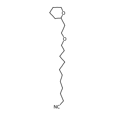 N#CCCCCCCCCCCOCCC1CCCCO1